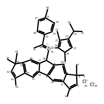 CC1=CC(C)(C)c2cc3c(cc21)-c1cc2c(cc1[CH]3/[Zr+2]([C]1=C(C)C(C(C)C)=CC1C)=[C](\C)c1ccc(C)cc1)C(C)(C)C=C2C.[Cl-].[Cl-]